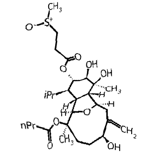 C=C1C[C@H]2O[C@H]([C@@H]3[C@@H](C(C)C)[C@H](OC(=O)CC[S+](C)[O-])[C@@H](O)[C@@](C)(O)[C@@H]32)[C@](C)(OC(=O)CCC)CC[C@@H]1O